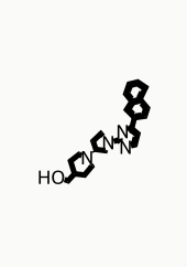 OCC1CCN([C@@H]2CCN(c3nccc(-c4ccc5ccccc5c4)n3)C2)CC1